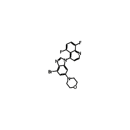 Fc1ccc(F)c2c(-n3cnc4c(Br)cc(N5CCOCC5)cc43)ccnc12